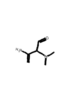 C=C(N)C(C=O)N(C)C